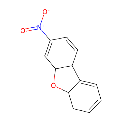 O=[N+]([O-])C1=CC2OC3CC=CC=C3C2C=C1